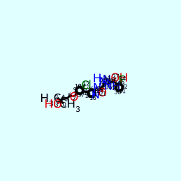 CC(C)(O)CCCOc1ccc(Cl)c(-c2ccnc(NC(=O)c3nnc(C(O)c4ccccc4F)[nH]3)c2)c1